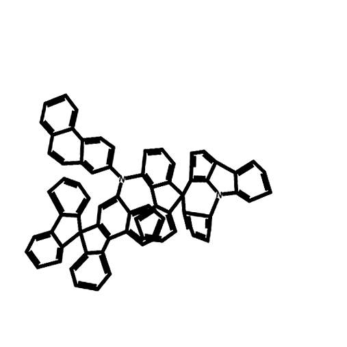 c1ccc2c(c1)-c1ccccc1C21c2ccccc2-c2c1cc(N(c1ccc3c(ccc4ccccc43)c1)c1cccc3c1-c1ccccc1C31c3ccccc3-n3c4ccccc4c4cccc1c43)c1ccccc21